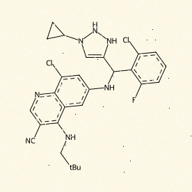 CC(C)(C)CNc1c(C#N)cnc2c(Cl)cc(NC(C3=CN(C4CC4)NN3)c3c(F)cccc3Cl)cc12